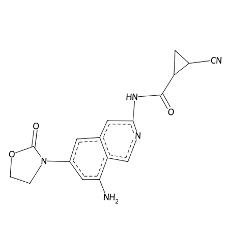 N#CC1CC1C(=O)Nc1cc2cc(N3CCOC3=O)cc(N)c2cn1